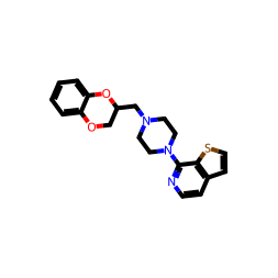 c1ccc2c(c1)OCC(CN1CCN(c3nccc4ccsc34)CC1)O2